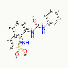 O=C(Nc1ccccc1)Nc1cccc2c1NS(=O)(=O)C=C2